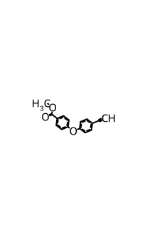 C#Cc1ccc(Oc2ccc(C(=O)OC)cc2)cc1